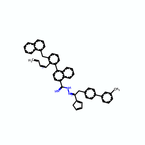 C=C/C=C\c1c(Cc2cccc3ccccc23)cccc1-c1ccc(C(=N)N/N=C(\Cc2ccc(-c3cccc(C)c3)cc2)C2=CC=CC2)c2ccccc12